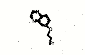 CC(C)CCOc1ccc2nccnc2c1